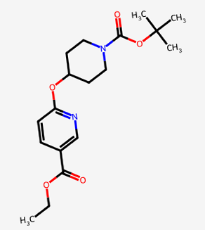 CCOC(=O)c1ccc(OC2CCN(C(=O)OC(C)(C)C)CC2)nc1